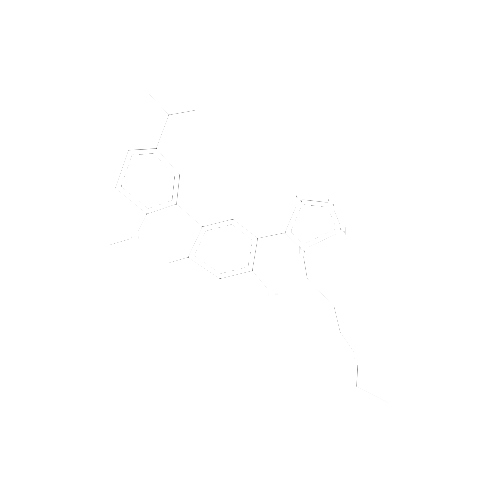 CCOCCCn1nnnc1-c1cc(-c2cc(C(C)C)ccc2OC)c(O)cc1O